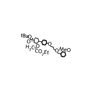 CCOC(=O)[C@@H](C)OC1CN(C(=O)OC(C)(C)C)CCC1c1ccc(OCCCOCc2ccccc2OC)cc1